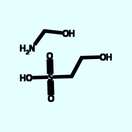 NCO.O=S(=O)(O)CCO